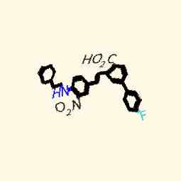 O=C(O)c1ccc(-c2ccc(F)cc2)cc1/C=C/c1ccc(NCCC2CCCCC2)c([N+](=O)[O-])c1